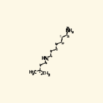 CC(C)CCNCCCCCCCN